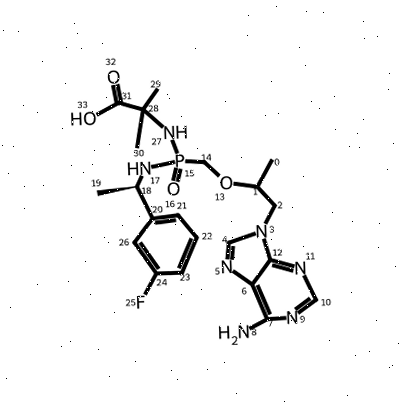 CC(Cn1cnc2c(N)ncnc21)OCP(=O)(N[C@H](C)c1cccc(F)c1)NC(C)(C)C(=O)O